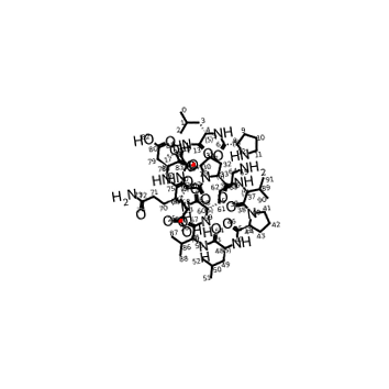 CC(C)C[C@H](NC(=O)[C@@H]1CCCN1)C(=O)N[C@@H](C)C(=O)N[C@@H](CCC(=O)O)C(=O)N1CCC[C@H]1C(=O)N[C@H](C(=O)N1CCC[C@H]1C(=O)N[C@@H](CC(C)C)C(=O)N[C@H](C(=O)N[C@@H](CCCCN)C(=O)N[C@@H](CCC(N)=O)C(=O)N[C@@H](CC(=O)O)C(=O)O)C(C)C)C(C)C